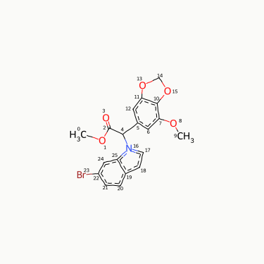 COC(=O)C(c1cc(OC)c2c(c1)OCO2)n1ccc2ccc(Br)cc21